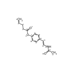 C=CCCC(=O)Oc1ccc(C=CNC(C)=O)cc1